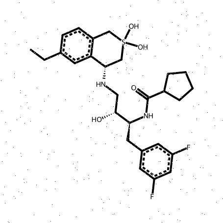 CCc1ccc2c(c1)[C@@H](NC[C@@H](O)[C@H](Cc1cc(F)cc(F)c1)NC(=O)C1CCCC1)CS(O)(O)C2